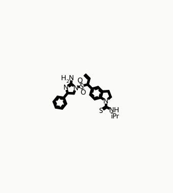 C=CC(c1ccc2c(c1)CCN2C(=S)NC(C)C)S(=O)(=O)N1CC(c2ccccc2)N=C1N